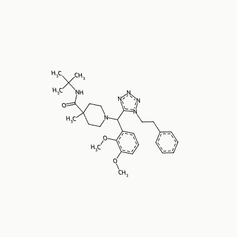 COc1cccc(C(c2nnnn2CCc2ccccc2)N2CCC(C)(C(=O)NC(C)(C)C)CC2)c1OC